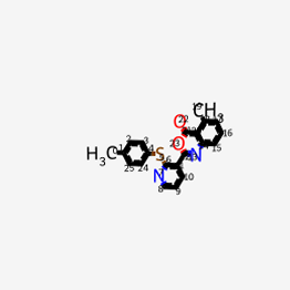 Cc1ccc(Sc2ncccc2-c2nc3cccc(C)c3c(=O)o2)cc1